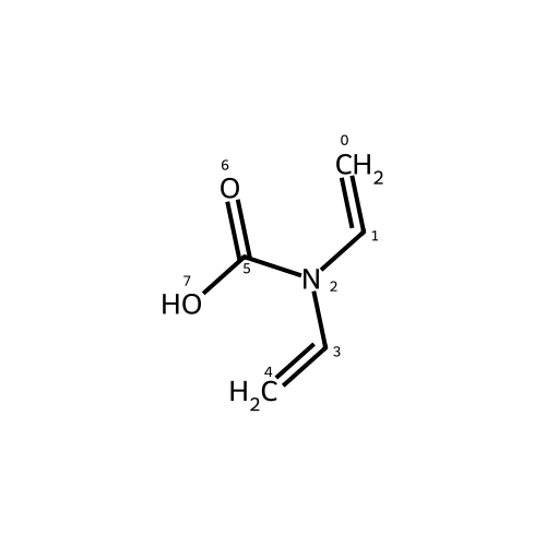 C=CN(C=C)C(=O)O